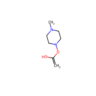 C=C(O)ON1CCN(C)CC1